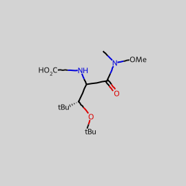 CON(C)C(=O)C(NC(=O)O)[C@H](OC(C)(C)C)C(C)(C)C